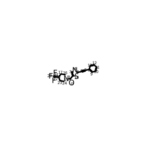 O=C(c1cnc(C#Cc2ccccc2)s1)N1CCC(C(F)(F)F)CC1